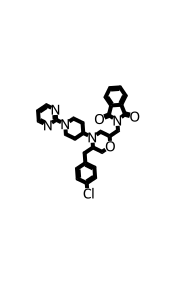 O=C1c2ccccc2C(=O)N1CC1CN(C2CCN(c3ncccn3)CC2)C(Cc2ccc(Cl)cc2)CO1